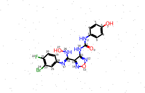 O=C(Nc1ccc(O)cc1)Nc1nonc1/C(=N/c1ccc(F)c(Br)c1)NO